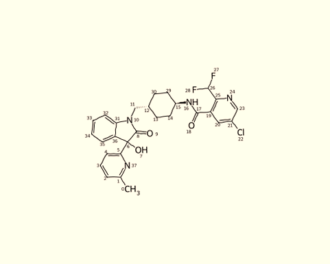 Cc1cccc(C2(O)C(=O)N(C[C@H]3CC[C@H](NC(=O)c4cc(Cl)cnc4C(F)F)CC3)c3ccccc32)n1